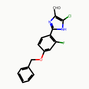 O=Cc1nc(-c2ccc(OCc3ccccc3)cc2F)[nH]c1Cl